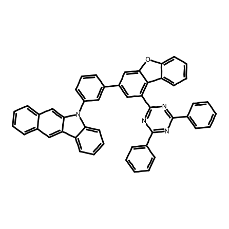 c1ccc(-c2nc(-c3ccccc3)nc(-c3cc(-c4cccc(-n5c6ccccc6c6cc7ccccc7cc65)c4)cc4oc5ccccc5c34)n2)cc1